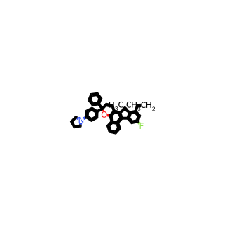 C=Cc1cc(F)cc2c1C(C)(C)c1c3c(c4ccccc4c1-2)OC(c1ccccc1)(c1ccc(N2CCCC2)cc1)C=C3